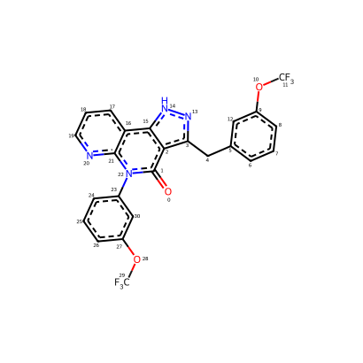 O=c1c2c(Cc3cccc(OC(F)(F)F)c3)n[nH]c2c2cccnc2n1-c1cccc(OC(F)(F)F)c1